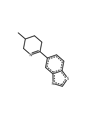 CC1CCC(c2ccc3scnc3c2)=NC1